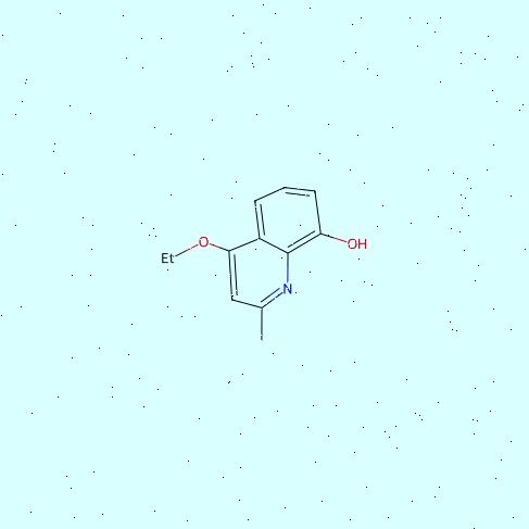 CCOc1cc(C)nc2c(O)cccc12